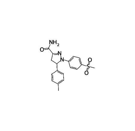 Cc1ccc(C2CC(C(N)=O)=NN2c2ccc(S(C)(=O)=O)cc2)cc1